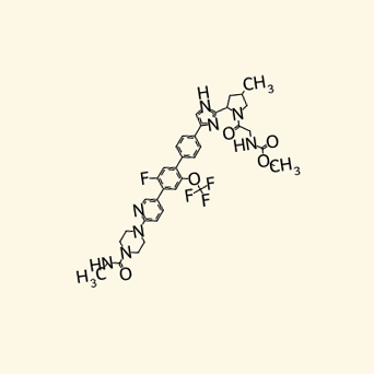 CNC(=O)N1CCN(c2ccc(-c3cc(OC(F)(F)F)c(-c4ccc(-c5c[nH]c(C6CC(C)CN6C(=O)CNC(=O)OC)n5)cc4)cc3F)cn2)CC1